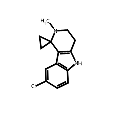 CN1CCc2[nH]c3ccc(Cl)cc3c2C12CC2